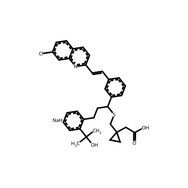 CC(C)(O)c1ccccc1CCC(SCC1(CC(=O)O)CC1)c1cccc(/C=C/c2ccc3ccc(Cl)cc3n2)c1.[NaH]